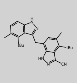 Cc1ccc2[nH]nc(Cc3cc(C)c(C(C)(C)C)c4c(C#N)n[nH]c34)c2c1C(C)(C)C